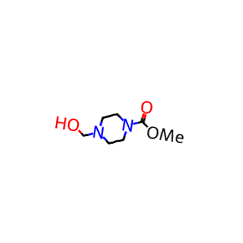 COC(=O)N1CCN(CO)CC1